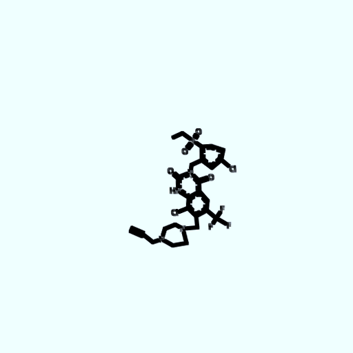 C#CCN1CCN(Cc2c(C(F)(F)F)cc3c(=O)n(Cc4cc(Cl)ccc4S(=O)(=O)CC)c(=O)[nH]c3c2Cl)CC1